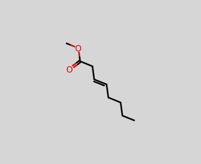 CCCCC=CCC(=O)OC